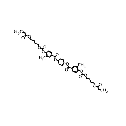 C=CC(=O)OCCCCOC(=O)Oc1ccc(C(=O)O[C@H]2CC[C@H](OC(=O)c3ccc(OC(=O)OCCCCOC(=O)C=C)c(C)c3)CC2)cc1C